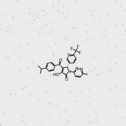 Cc1ccc(N2C(=O)C(O)=C(C(=O)c3ccc(C(C)C)cc3)[C@@H]2c2ccc(C(F)(F)F)nc2)nn1